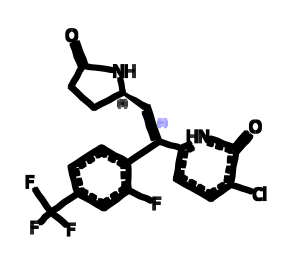 O=C1CC[C@H](/C=C(/c2ccc(Cl)c(=O)[nH]2)c2ccc(C(F)(F)F)cc2F)N1